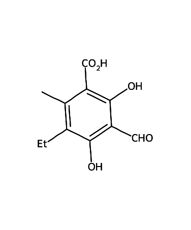 CCc1c(C)c(C(=O)O)c(O)c(C=O)c1O